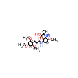 COc1cc(OC)c(C=CC(=O)Nc2ccc(OC)c(NC(C)C(=O)O)c2)c(OC)c1